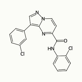 O=C(Nc1ccccc1Cl)c1ccn2ncc(-c3cccc(Cl)c3)c2n1